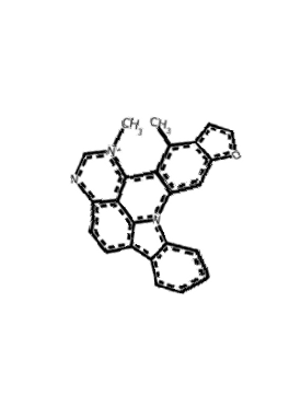 Cc1c2ccoc2cc2c1c1c3c(ccc4c5ccccc5n2c43)nc[n+]1C